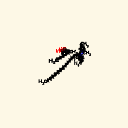 CCCCCCCCCCCCCCCCCCCCCCCCCC#CC(C=NC1(CC)C=CC(CC)=CC1)=NC1(CC)C=CC(CC)=CC1.CCCCCc1cc(O)c2c(O)cc(C)cc2c1